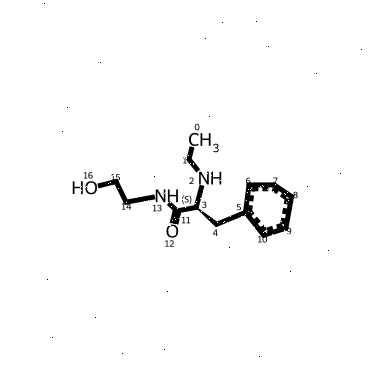 CCN[C@@H](Cc1ccccc1)C(=O)NCCO